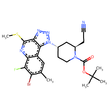 CSc1nc2c(F)c(Br)c(C)cc2c2c1nnn2[C@H]1CCN(C(=O)OC(C)(C)C)[C@H](CC#N)C1